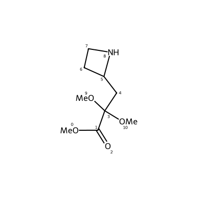 COC(=O)C(CC1CCN1)(OC)OC